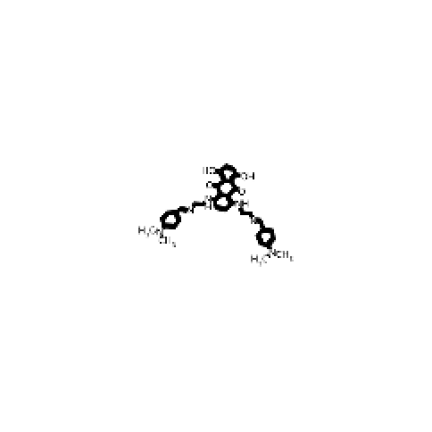 CN(C)c1ccc(C=NCCNc2ccc(NCCN=Cc3ccc(N(C)C)cc3)c3c2C(=O)c2c(O)ccc(O)c2C3=O)cc1